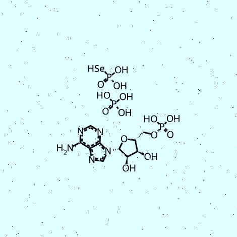 Nc1ncnc2c1ncn2[C@@H]1O[C@H](COP(=O)(O)O)[C@@H](O)[C@H]1O.O=P(O)(O)O.O=P(O)(O)[SeH]